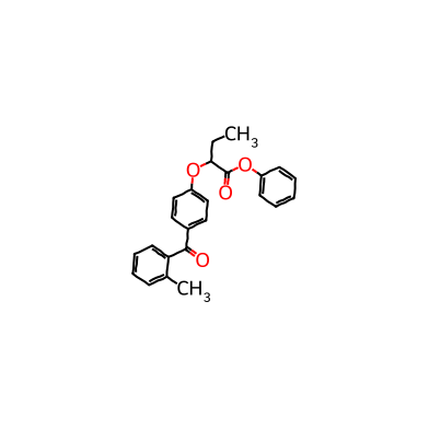 CCC(Oc1ccc(C(=O)c2ccccc2C)cc1)C(=O)Oc1ccccc1